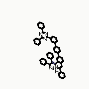 N=C(/C(=C1\NC(c2ccccc2)=Cc2ccc(-c3ccc(-c4cccc(-c5nc(-c6ccccc6)nc(-c6ccccc6)n5)c4)cc3)cc21)c1ccccc1)c1ccccc1